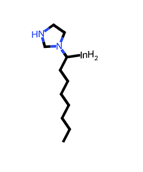 CCCCCCC[CH]([InH2])N1CCNC1